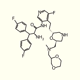 CN(CC1COCCO1)C[C@@H]1CNC[C@@H](CCc2c(F)cncc2NC(=O)[C@@H](N)C(c2ccc(F)cc2)c2ccc(F)cc2)O1